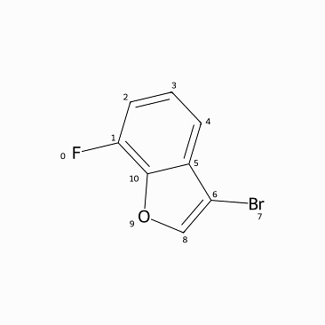 Fc1cccc2c(Br)coc12